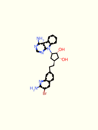 Nc1nc2cc(CC[C@H]3C[C@@H](n4c5ccccc5c5c(N)ncnc54)[C@H](O)[C@@H]3O)ccc2cc1Br